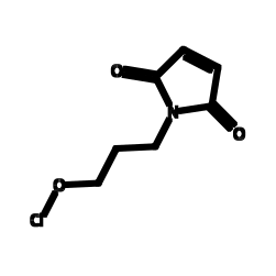 O=C1C=CC(=O)N1CCCOCl